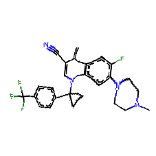 C=C1C(C#N)=CN(C2(c3ccc(C(F)(F)F)cc3)CC2)c2cc(N3CCN(C)CC3)c(F)cc21